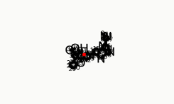 Cn1cc(-c2cn3ncc(C#N)c3c(-c3ccc(N4CCN(C(=O)C5C(c6ccccc6)CN(C(=O)O)C5C(C)(C)C)CC4)nc3)n2)cn1